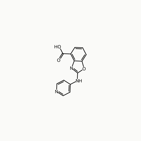 O=C(O)c1cccc2oc(Nc3ccncc3)nc12